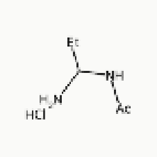 CCC(N)NC(C)=O.Cl